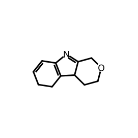 C1=CC2=C(CC1)C1CCOCC1=N2